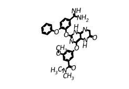 COc1cc(OC2=C3NC(=O)CN=C3NC(Oc3cc(C(=N)N)ccc3Oc3ccccc3)=N2)cc(C(=O)N(C)C)c1